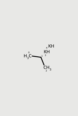 CCC.[KH].[KH]